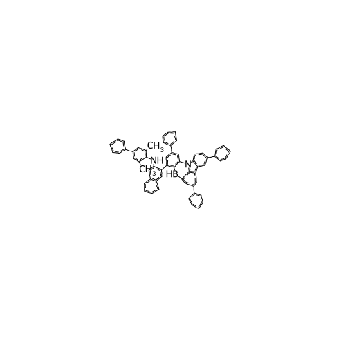 Cc1cc(-c2ccccc2)cc(C)c1Nc1cc2ccccc2cc1-c1cc(-c2ccccc2)cc2c1Bc1cc(-c3ccccc3)cc3c4cc(-c5ccccc5)ccc4n-2c13